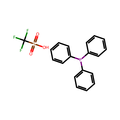 O=S(=O)(O)C(F)(F)F.c1ccc(P(c2ccccc2)c2ccccc2)cc1